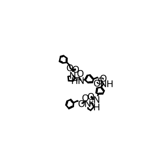 O=C(Nc1ccc(CS(=O)(=O)Nc2ccc(NC(=O)[C@@H]3CCCN3C(=O)OCc3ccccc3)cc2)cc1)[C@@H]1CCCN1C(=O)OCc1ccccc1